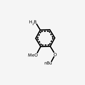 Bc1ccc(OCCCC)c(OC)c1